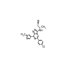 C[C@@H](CC#N)Nc1nnc2c(-c3cnn(C)c3)nc(-c3ccc(Cl)cc3)cn12